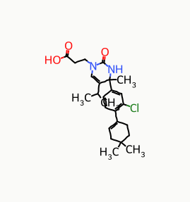 CC(C)C1=CN(CCC(=O)O)C(=O)NC1(C)c1ccc(C2=CCC(C)(C)CC2)c(Cl)c1